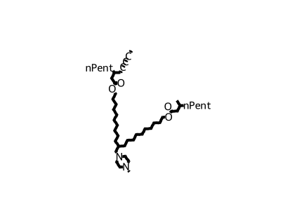 C=C=C=C=CC(CCCCC)CC(=O)OCCCCCCCCCCC(CCCCCCCCCCOC(=O)CC(C)CCCCC)CN1CCN(C)CC1